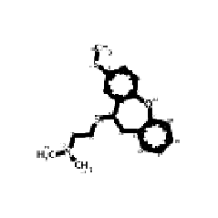 CSc1ccc2c(c1)C(SCCN(C)C)Cc1ccccc1O2